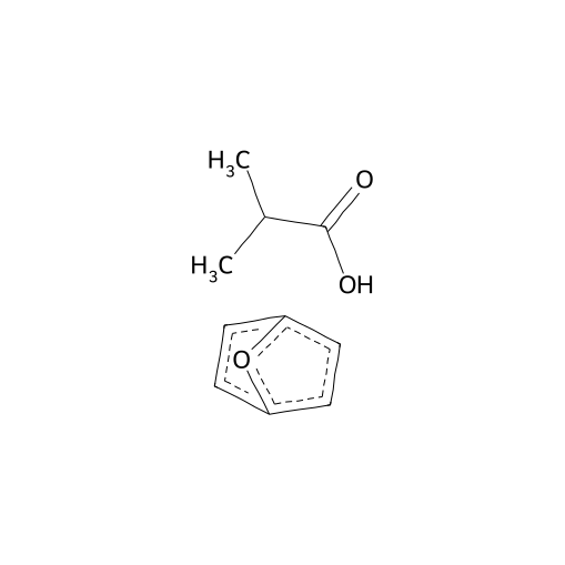 CC(C)C(=O)O.c1cc2ccc1o2